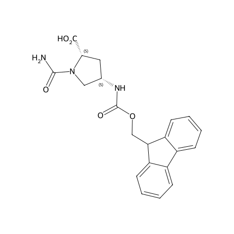 NC(=O)N1C[C@@H](NC(=O)OCC2c3ccccc3-c3ccccc32)C[C@H]1C(=O)O